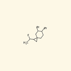 CC(C)C1CCC2(CC1C(C)C)CC2C(C)F